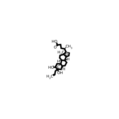 C=CCC1(O)C[C@H]2CC[C@@H]3[C@H](CC[C@]4(C)[C@@H]([C@H](C)CCC(=O)O)CC[C@@H]34)[C@@]2(C)CC1O